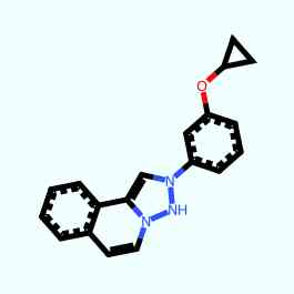 C1=CN2NN(c3cccc(OC4CC4)c3)C=C2c2ccccc21